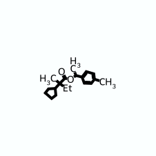 CCC(C)(C(=O)OC(C)c1ccc(C)cc1)C1CCCC1